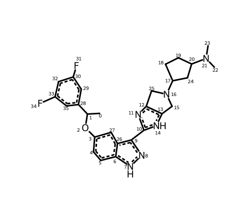 CC(Oc1ccc2[nH]nc(-c3nc4c([nH]3)CN(C3CCC(N(C)C)C3)C4)c2c1)c1cc(F)cc(F)c1